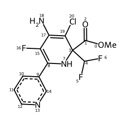 COC(=O)C1(C(F)F)NC(c2cccnc2)=C(F)C(N)=C1Cl